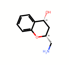 NC[C@H]1C[C@@H](O)c2ccccc2O1